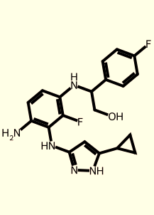 Nc1ccc(NC(CO)c2ccc(F)cc2)c(F)c1Nc1cc(C2CC2)[nH]n1